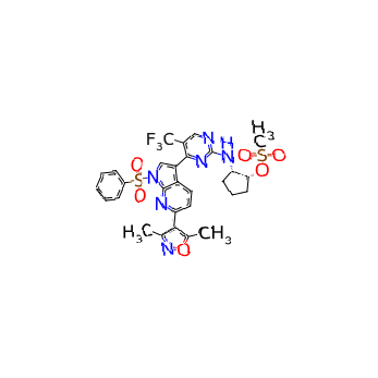 Cc1noc(C)c1-c1ccc2c(-c3nc(N[C@H]4CCC[C@H]4OS(C)(=O)=O)ncc3C(F)(F)F)cn(S(=O)(=O)c3ccccc3)c2n1